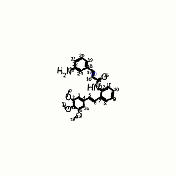 COc1cc(C=Cc2ccccc2NC(=O)/C=C/c2cccc(N)c2)cc(OC)c1OC